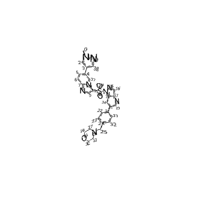 Cn1cc(-c2ccc3ncc(S(=O)(=O)n4ncc5ncc(-c6ccc(CN7CCOCC7)cc6)cc54)n3c2)cn1